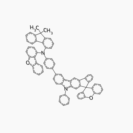 CC1(C)c2ccccc2-c2c(N(c3ccc(-c4ccc5c(c4)c4cc6c(cc4n5-c4ccccc4)C4(c5ccccc5Oc5ccccc54)c4ccccc4-6)cc3)c3cccc4oc5ccccc5c34)cccc21